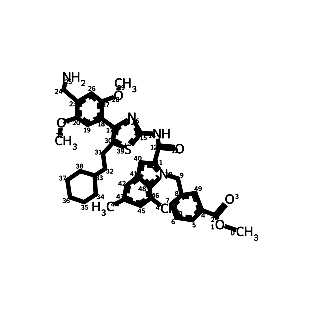 COC(=O)c1cccc(Cn2c(C(=O)Nc3nc(-c4cc(OC)c(CN)cc4OC)c(CCC4CCCCC4)s3)cc3cc(C)cc(C)c32)c1